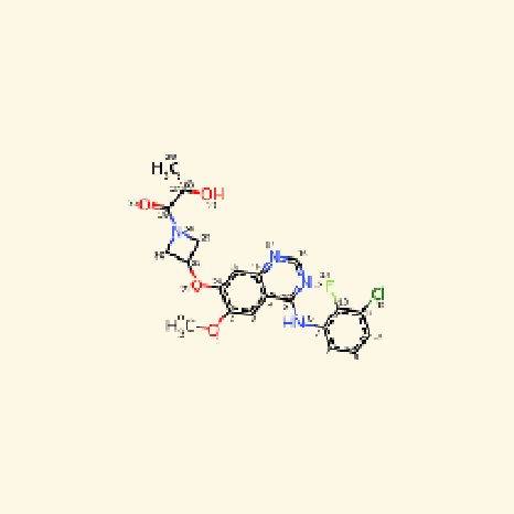 COc1cc2c(Nc3cccc(Cl)c3F)ncnc2cc1OC1CN(C(=O)[C@H](C)O)C1